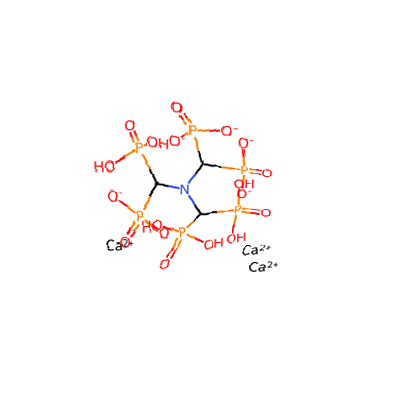 O=P([O-])([O-])C(N(C(P(=O)([O-])[O-])P(=O)(O)O)C(P(=O)(O)O)P(=O)(O)O)P(=O)([O-])[O-].[Ca+2].[Ca+2].[Ca+2]